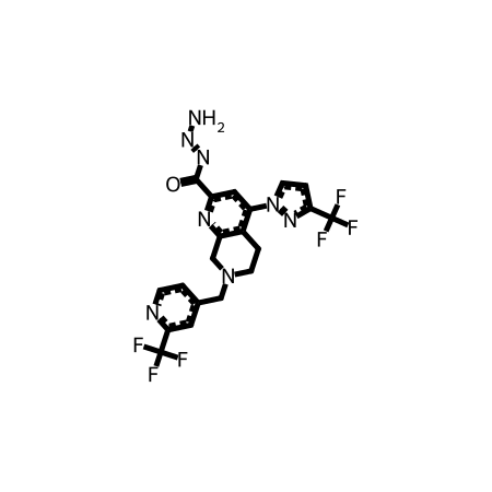 NN=NC(=O)c1cc(-n2ccc(C(F)(F)F)n2)c2c(n1)CN(Cc1ccnc(C(F)(F)F)c1)CC2